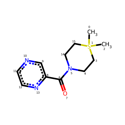 CS1(C)CCN(C(=O)c2cnccn2)CC1